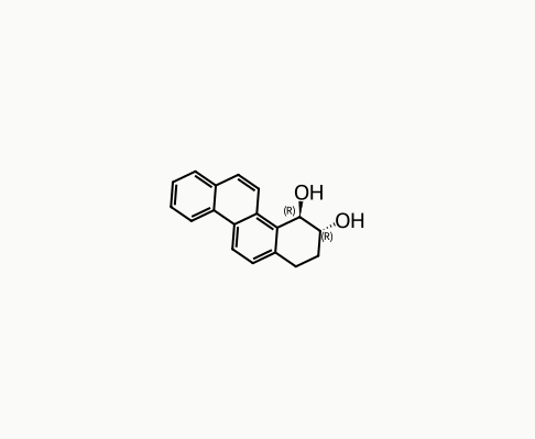 O[C@@H]1CCc2ccc3c(ccc4ccccc43)c2[C@H]1O